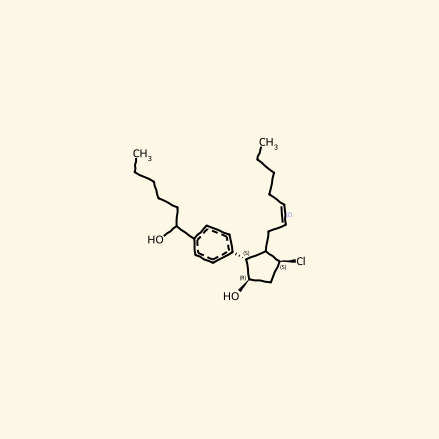 CCCC/C=C\CC1[C@@H](c2ccc(C(O)CCCCC)cc2)[C@H](O)C[C@@H]1Cl